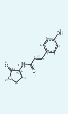 O=C(/C=C/c1ccc(O)cc1)N[C@H]1CCOC1=O